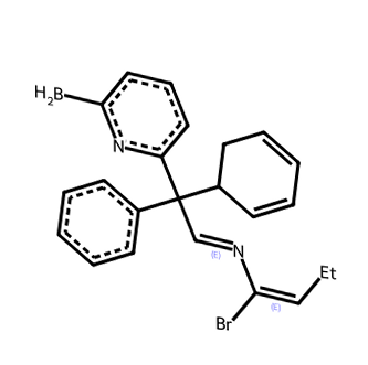 Bc1cccc(C(/C=N/C(Br)=C\CC)(c2ccccc2)C2C=CC=CC2)n1